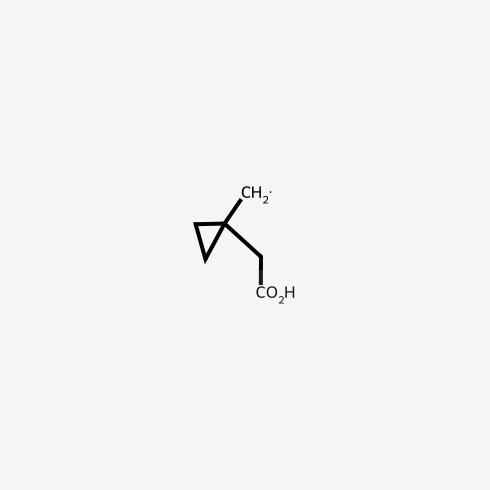 [CH2]C1(CC(=O)O)CC1